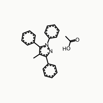 CC(=O)O.Cc1c(-c2ccccc2)nn(-c2ccccc2)c1-c1ccccc1